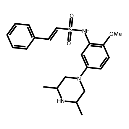 COc1ccc(N2CC(C)NC(C)C2)cc1NS(=O)(=O)C=Cc1ccccc1